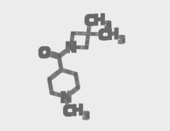 CN1CCC(C(=O)N2CC(C)(C)C2)CC1